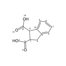 O=C(O)C1Cc2ccccc2C1C(=O)O